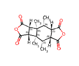 C[C@@H]1[C@@H]2C(=O)OC(=O)[C@@H]2[C@H](C)[C@@]2(C)[C@@H]3C(=O)OC(=O)[C@@H]3[C@@]12C